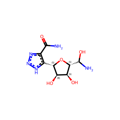 NC(=O)c1nn[nH]c1[C@@H]1O[C@H](C(N)O)[C@@H](O)[C@H]1O